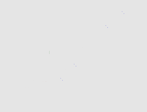 CCOC(=O)c1ccccc1C1(Cl)C=CN=C2N=C(c3ccc(N4CCN(C)CC4)cc3)C=C21